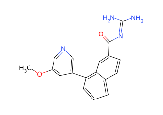 COc1cncc(-c2cccc3ccc(C(=O)N=C(N)N)cc23)c1